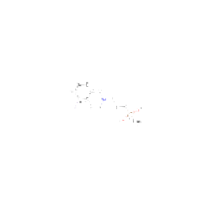 CC(C)COS(=O)(=O)CCCN1CCc2c(I)cccc2C1